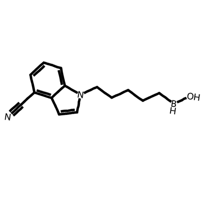 N#Cc1cccc2c1ccn2CCCCCBO